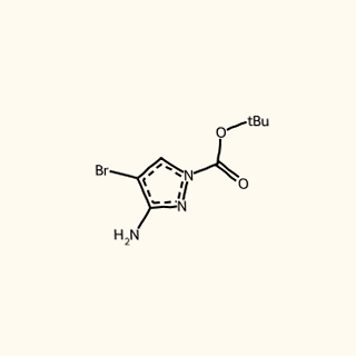 CC(C)(C)OC(=O)n1cc(Br)c(N)n1